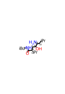 CCC(C)NC(=O)[C@@H](C[C@H](O)[C@@H](N)CC(C)C)C(C)C